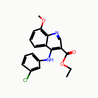 CCOC(=O)c1cnc2c(OC)cccc2c1Nc1cccc(Cl)c1